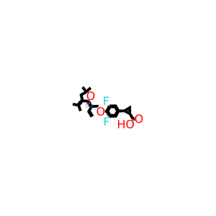 C=C/C(COc1c(F)cc(C2CC2C(=O)O)cc1F)=C1/OC(C)(C)CC1=C(C)C